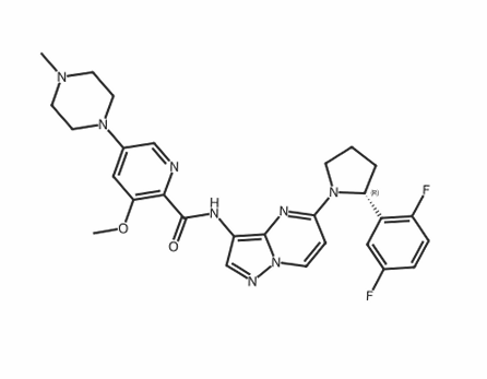 COc1cc(N2CCN(C)CC2)cnc1C(=O)Nc1cnn2ccc(N3CCC[C@@H]3c3cc(F)ccc3F)nc12